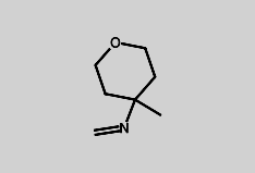 C=NC1(C)CCOCC1